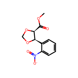 COC(=O)[C@@H]1OCO[C@@H]1c1ccccc1[N+](=O)[O-]